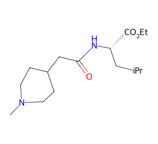 CCOC(=O)[C@H](CC(C)C)NC(=O)CC1CCN(C)CC1